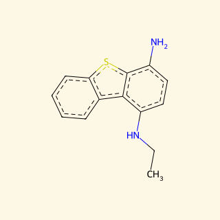 CCNc1ccc(N)c2sc3ccccc3c12